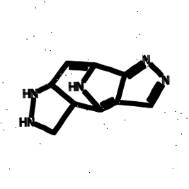 C1=NN=c2c1c1[nH]c2=CC2NNCC12